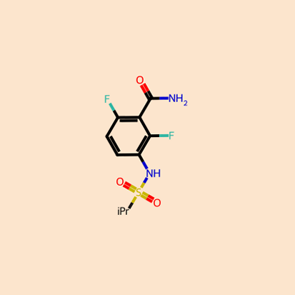 CC(C)S(=O)(=O)Nc1ccc(F)c(C(N)=O)c1F